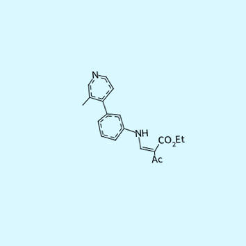 CCOC(=O)/C(=C\Nc1cccc(-c2ccncc2C)c1)C(C)=O